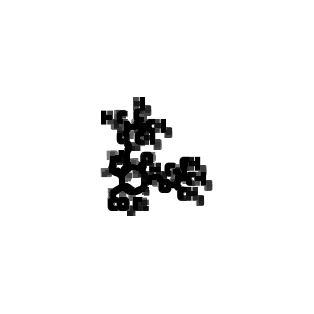 CCOC(=O)CC1=CCN(COC(C)[Si](C)(C)C)C(=O)c2c1ccn2COC(C)[Si](C)(C)C